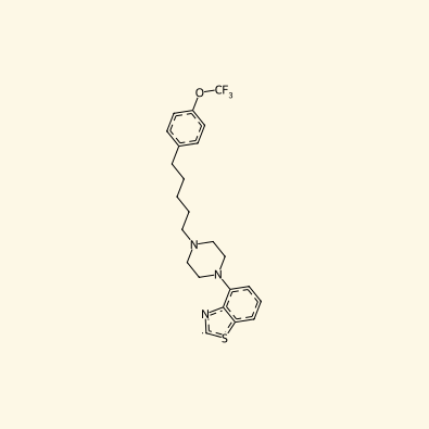 FC(F)(F)Oc1ccc(CCCCCN2CCN(c3cccc4s[c]nc34)CC2)cc1